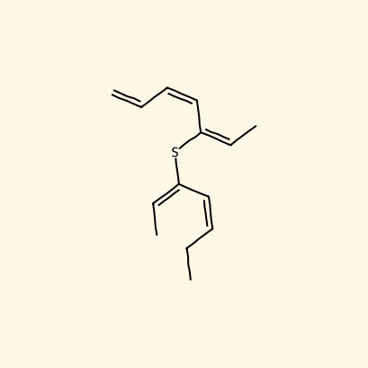 C=C/C=C\C(=C/C)SC(/C=C\CC)=C/C